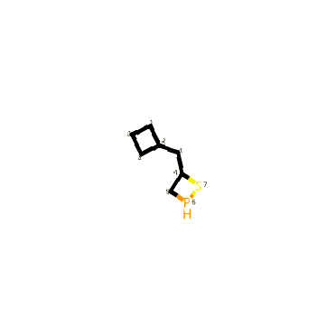 C1CC(CC2CPS2)C1